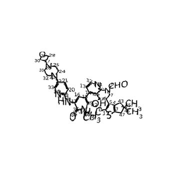 Cc1sc2c(c1CCN(C=O)c1nccc(-c3cc(Nc4ccc(N5CCN(C6COC6)CC5)cn4)c(=O)n(C)c3)c1CO)CC(C)(C)C2